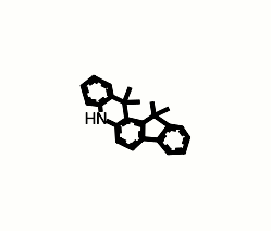 CC1(C)c2ccccc2Nc2ccc3c(c21)C(C)(C)c1ccccc1-3